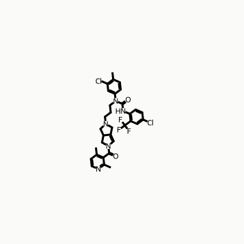 Cc1ccc(N(CCCN2CC3=CN(C(=O)c4c(C)ccnc4C)CC3C2)C(=O)Nc2ccc(Cl)cc2C(F)(F)F)cc1Cl